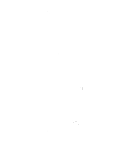 NC(Cc1c[nH]c2cc(OCc3cccc(C(=O)O)c3)ccc12)C(=O)O